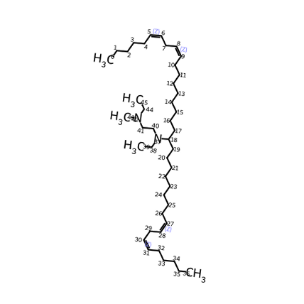 CCCCC/C=C\C/C=C\CCCCCCCCC(CCCCCCCC/C=C\C/C=C\CCCCC)N(CC)CCN(C)CC